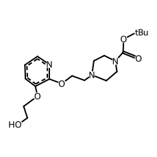 CC(C)(C)OC(=O)N1CCN(CCOc2ncccc2OCCO)CC1